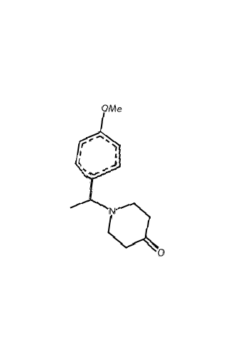 COc1ccc(C(C)N2CCC(=O)CC2)cc1